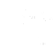 Cc1ccc(NS(=O)(=O)c2ccccc2)c([N+](=O)[O-])c1